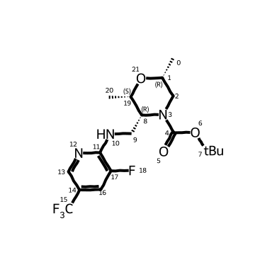 C[C@@H]1CN(C(=O)OC(C)(C)C)[C@H](CNc2ncc(C(F)(F)F)cc2F)[C@H](C)O1